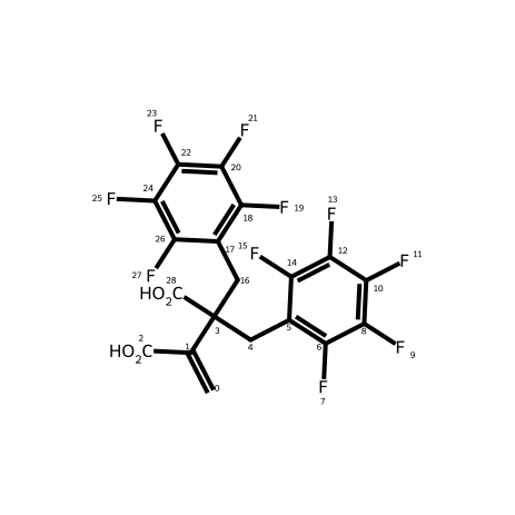 C=C(C(=O)O)C(Cc1c(F)c(F)c(F)c(F)c1F)(Cc1c(F)c(F)c(F)c(F)c1F)C(=O)O